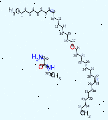 CCCCCCCC/C=C\CCCCCCCCOCCCCCCCC/C=C\CCCCCCCC.CCNC(=O)CN